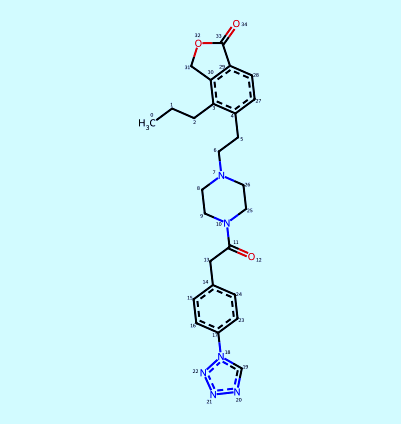 CCCc1c(CCN2CCN(C(=O)Cc3ccc(-n4cnnn4)cc3)CC2)ccc2c1COC2=O